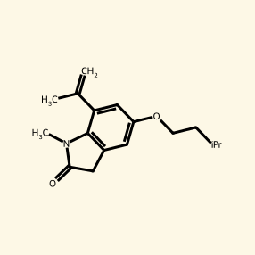 C=C(C)c1cc(OCCC(C)C)cc2c1N(C)C(=O)C2